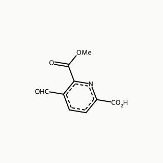 COC(=O)c1nc(C(=O)O)ccc1C=O